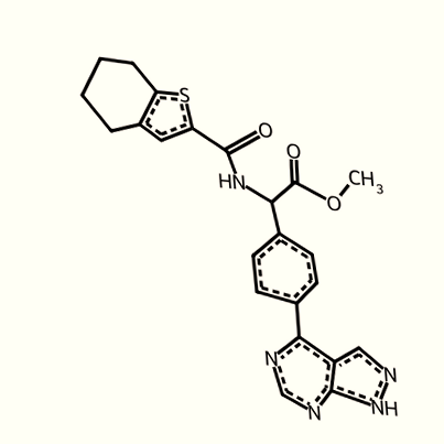 COC(=O)C(NC(=O)c1cc2c(s1)CCCC2)c1ccc(-c2ncnc3[nH]ncc23)cc1